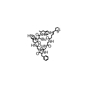 CCC(C)C(NC(=O)C(Cc1c[nH]cn1)NC(=O)CNC(=O)C(Cc1ccccc1)NC(=O)CNC(=O)CNC(=O)CCCCC1CCSS1)C(=O)NC(C)Cc1c[nH]cn1